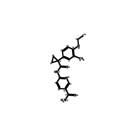 Cc1cc(C2(C(=O)Nc3ccc(C(N)=O)cn3)CC2)ccc1OCI